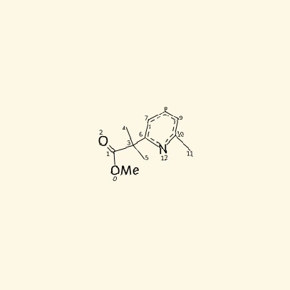 COC(=O)C(C)(C)c1cccc(C)n1